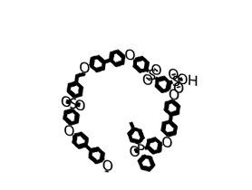 COc1ccc(-c2ccc(Oc3ccc(S(=O)(=O)c4ccc(CCOc5ccc(-c6ccc(Oc7ccc(S(=O)(=O)c8ccc(Oc9ccc(-c%10ccc(Oc%11ccc(P(=O)(c%12ccccc%12)c%12ccc(C)cc%12)cc%11)cc%10)cc9)c(S(=O)(=O)O)c8)cc7)cc6)cc5)cc4)cc3)cc2)cc1